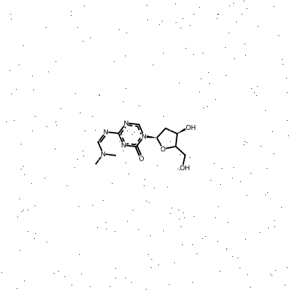 CN(C)/C=N\c1ncn([C@H]2C[C@@H](O)C(CO)O2)c(=O)n1